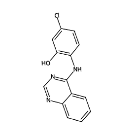 Oc1cc(Cl)ccc1Nc1ncnc2ccccc12